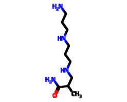 CC(CNCCCNCCCN)C(N)=O